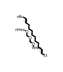 CC/C=C/CCCCCCCC/C=C/CCCC.CCCCCCOCOCOCCCCCC